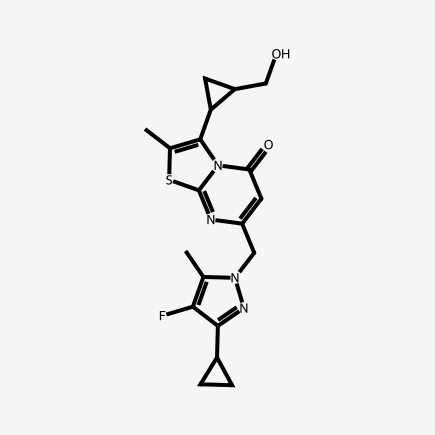 Cc1sc2nc(Cn3nc(C4CC4)c(F)c3C)cc(=O)n2c1C1CC1CO